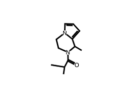 CC(C)C(=O)N1CCn2cccc2C1C